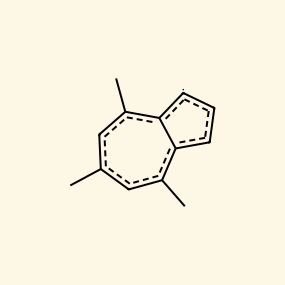 Cc1cc(C)c2[c]ccc-2c(C)c1